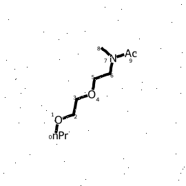 CCCOCCOCCN(C)C(C)=O